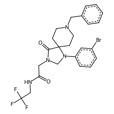 O=C(CN1CN(c2cccc(Br)c2)C2(CCN(Cc3ccccc3)CC2)C1=O)NCC(F)(F)F